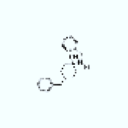 CCN(Cc1ccccc1)C1(C#N)CCN(Cc2ccccc2)CC1